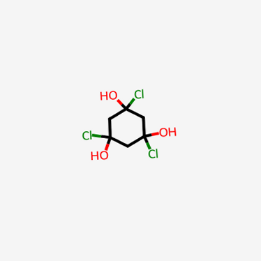 OC1(Cl)CC(O)(Cl)CC(O)(Cl)C1